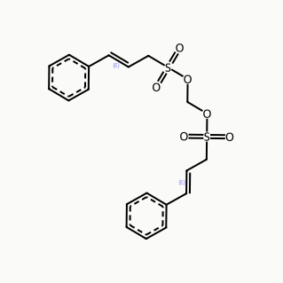 O=S(=O)(C/C=C/c1ccccc1)OCOS(=O)(=O)C/C=C/c1ccccc1